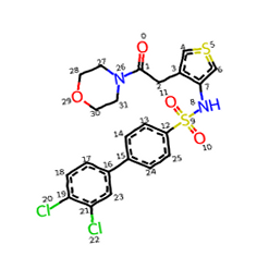 O=C(Cc1cscc1NS(=O)(=O)c1ccc(-c2ccc(Cl)c(Cl)c2)cc1)N1CCOCC1